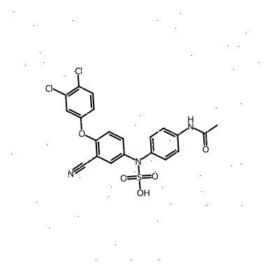 CC(=O)Nc1ccc(N(c2ccc(Oc3ccc(Cl)c(Cl)c3)c(C#N)c2)S(=O)(=O)O)cc1